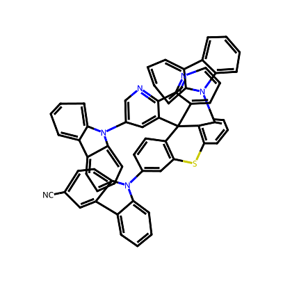 N#Cc1ccc2c(c1)c1ccccc1n2-c1ccc2c(c1)Sc1cccc(-n3c4ccccc4c4ccccc43)c1C21c2cccnc2-c2ncc(-n3c4ccccc4c4ccccc43)cc21